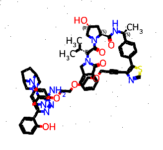 CC(C)[C@H](C(=O)N1C[C@H](O)C[C@H]1C(=O)N[C@@H](C)c1ccc(-c2scnc2C#CCOCCOCCOc2cc(N3C4CCC3CN(c3cc(-c5ccccc5O)nnc3N)C4)ccn2)cc1)N1Cc2ccccc2C1=O